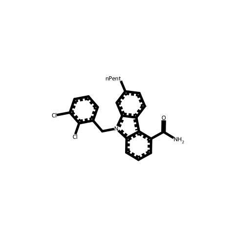 CCCCCc1c[c]c2c3c(C(N)=O)cccc3n(Cc3cccc(Cl)c3Cl)c2c1